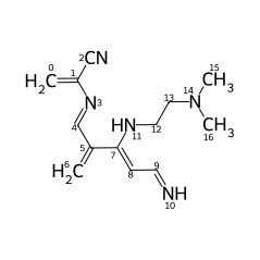 C=C(C#N)/N=C/C(=C)/C(=C/C=N)NCCN(C)C